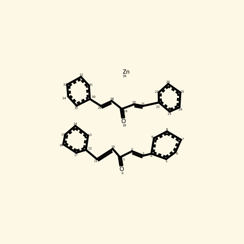 O=C(C=Cc1ccccc1)C=Cc1ccccc1.O=C(C=Cc1ccccc1)C=Cc1ccccc1.[Zn]